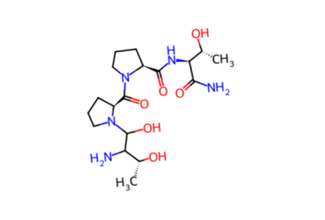 C[C@@H](O)C(N)C(O)N1CCC[C@H]1C(=O)N1CCC[C@H]1C(=O)N[C@H](C(N)=O)[C@@H](C)O